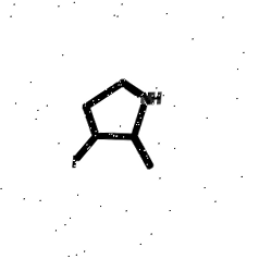 CC1NCCC1I